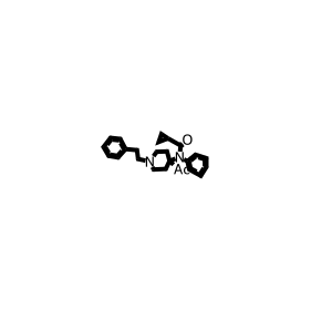 CC(=O)C1(N(C(=O)C2CC2)c2ccccc2)CCN(CCc2ccccc2)CC1